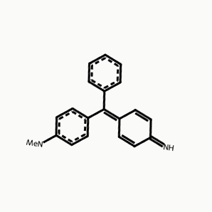 CNc1ccc(C(=C2C=CC(=N)C=C2)c2ccccc2)cc1